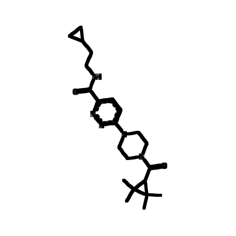 CC1(C)C(C(=O)N2CCN(c3ccc(C(=O)NCCC4CC4)nn3)CC2)C1(C)C